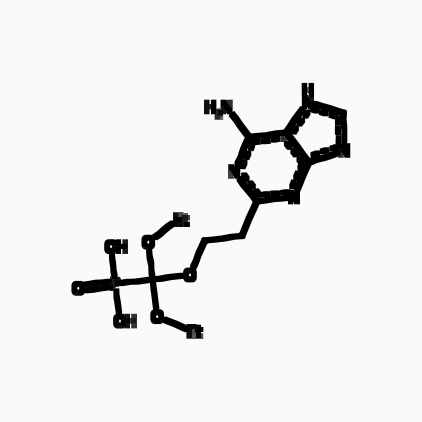 CCOC(OCC)(OCCc1nc(N)c2[nH]cnc2n1)P(=O)(O)O